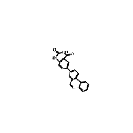 O=c1[nH]c(=O)c2cc(-c3ccc4c(ccc5ccccc54)c3)ccc2[nH]1